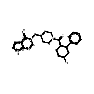 O=C(C1CCC(O)CC1c1ccccc1)N1CCC(Cn2cnc3[nH]ccc3c2=O)CC1